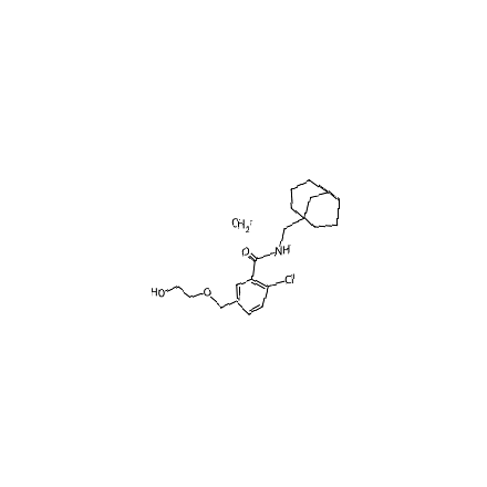 O=C(NCC12CCCC(CCC1)C2)c1cc(COCCO)ccc1Cl.[CH2]